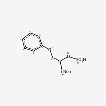 CCCCCCCCCC(COc1ccccc1)OS(=O)(=O)O